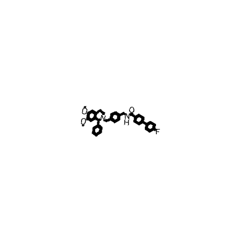 COc1cc2c(cc1OC)C(c1ccccc1)N(Cc1ccc(CNC(=O)c3ccc(-c4ccc(F)cc4)cc3)cc1)CC2